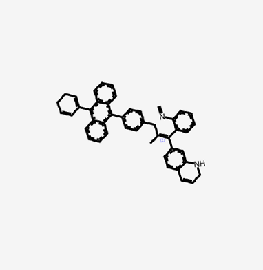 C=Nc1ccccc1/C(=C(/C)Cc1ccc(-c2c3ccccc3c(C3=CCCC=C3)c3ccccc23)cc1)c1ccc2c(c1)NCC=C2